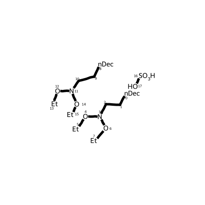 CCCCCCCCCCCCN(OCC)OCC.CCCCCCCCCCCCN(OCC)OCC.O=S(=O)(O)O